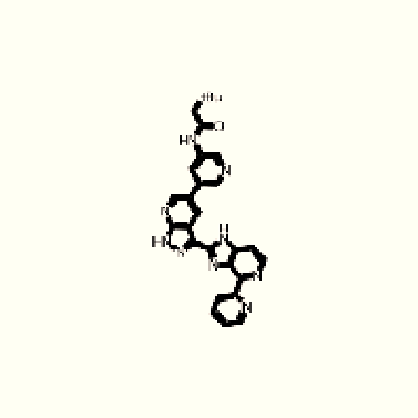 CC(C)(C)CC(=O)Nc1cncc(-c2cnc3[nH]nc(-c4nc5c(-c6ccccn6)nccc5[nH]4)c3c2)c1